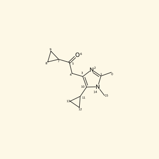 Cc1nc(CC(=O)C2CC2)c(C2CC2)n1C